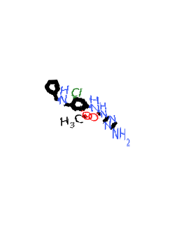 COc1cc(CNCc2ccccc2)c(Cl)cc1NC(=O)Nc1cnc(N)cn1